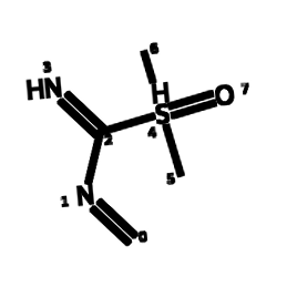 C=NC(=N)[SH](C)(C)=O